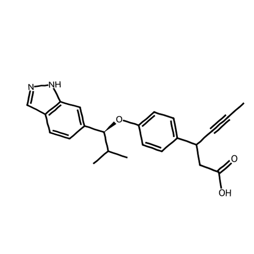 CC#CC(CC(=O)O)c1ccc(O[C@H](c2ccc3cn[nH]c3c2)C(C)C)cc1